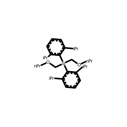 CCCOC[Si](COCCC)(c1c(C(C)C)cccc1C(C)C)c1c(C(C)C)cccc1C(C)C